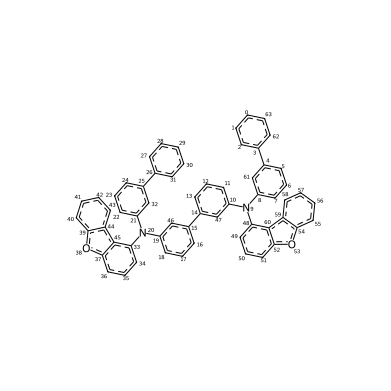 c1ccc(-c2cccc(N(c3cccc(-c4cccc(N(c5cccc(-c6ccccc6)c5)c5cccc6oc7ccccc7c56)c4)c3)c3cccc4oc5ccccc5c34)c2)cc1